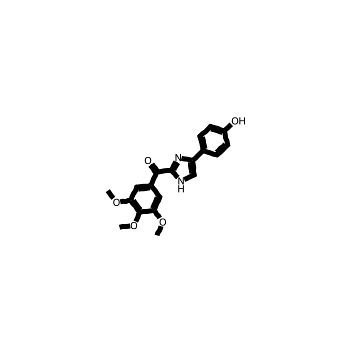 COc1cc(C(=O)c2nc(-c3ccc(O)cc3)c[nH]2)cc(OC)c1OC